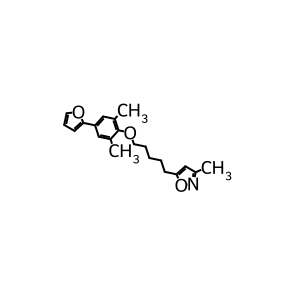 Cc1cc(CCCCCOc2c(C)cc(-c3ccco3)cc2C)on1